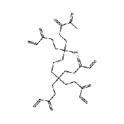 C=CC(=C)CCC(CCC)(CCCC(CCC(=C)C=C)(CCC(=C)C=C)CCC(=O)C=C)CCC(=C)C(=C)C